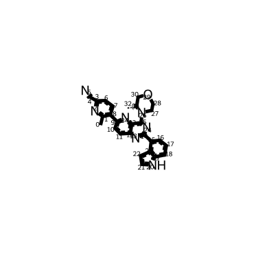 Cc1nc(C#N)ccc1-c1ccc2nc(-c3cccc4[nH]ccc34)nc(N3CCOC[C@H]3C)c2n1